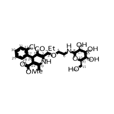 CCOC(=O)C1=C(COCCNC2O[C@H](CO)[C@H](O)[C@H](O)[C@H]2O)NC(C)=C(C(=O)OC)C1c1ccccc1Cl